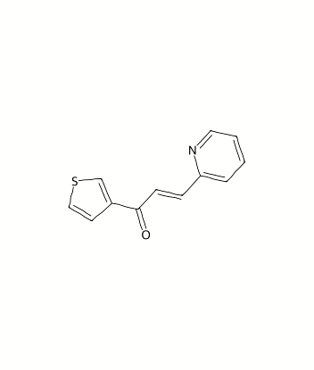 O=C(C=Cc1ccccn1)c1ccsc1